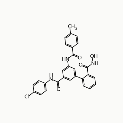 Cc1ccc(C(=O)Nc2cc(C(=O)Nc3ccc(Cl)cc3)cc(-c3ccccc3C(=O)NO)c2)cc1